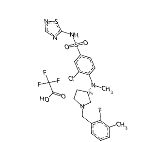 Cc1cccc(CN2CC[C@H](N(C)c3ccc(S(=O)(=O)Nc4ncns4)cc3Cl)C2)c1F.O=C(O)C(F)(F)F